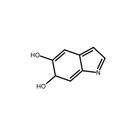 OC1=CC2=CC=NC2=CC1O